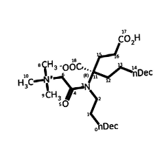 CCCCCCCCCCCCN(C(=O)C[N+](C)(C)C)[C@](CCCCCCCCCCCC)(CCC(=O)O)C(=O)[O-]